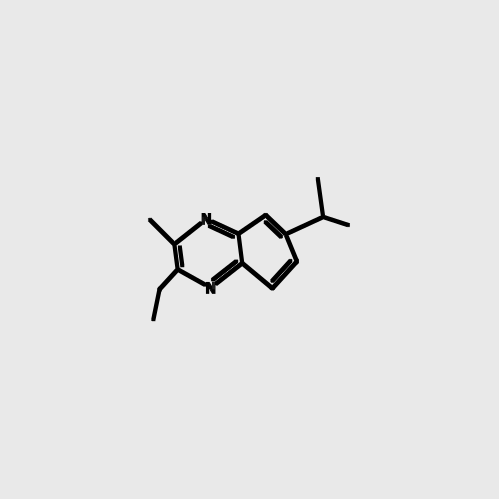 CCc1nc2ccc(C(C)C)cc2nc1C